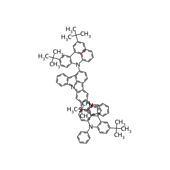 CC(C)(C)c1cccc(-c2cc(C(C)(C)C)ccc2N(c2ccccc2)c2ccc3c4cc5c(cc4n4c6ccccc6c2c34)c2ccc(N(c3ccccc3)c3ccc(C(C)(C)C)cc3-c3cccc([Si](C)(C)C)c3)c3c4ccccc4n5c23)c1